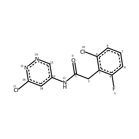 O=C(Cc1c(F)cccc1Cl)Nc1cnnc(Cl)c1